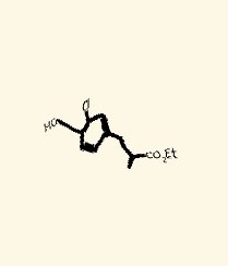 CCOC(=O)C(C)Cc1ccc(O)c(Cl)c1